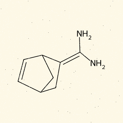 NC(N)=C1CC2C=CC1C2